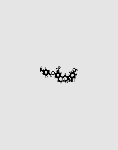 CCc1ccc(COc2cc3c(cc2OC)C2Cc4c([nH]c5ccc(OC)cc45)CN2CC3)cc1